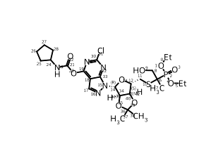 CCOP(=O)(OCC)C(C)(CO)SC[C@H]1O[C@@H](n2ncc3c(OC(=O)NC4CCCC4)nc(Cl)nc32)[C@@H]2OC(C)(C)O[C@@H]21